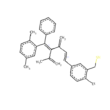 C=C(C)/C(C(=C)/C=C/c1ccc(CC)c(CS)c1)=C(/c1ccccc1)c1cc(C)ccc1C